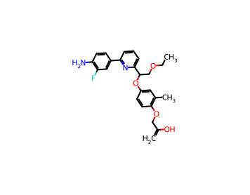 C=C(O)COc1ccc(OC(COCC)c2cccc(-c3ccc(N)c(F)c3)n2)cc1C